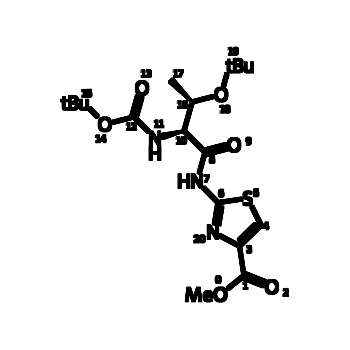 COC(=O)c1csc(NC(=O)[C@@H](NC(=O)OC(C)(C)C)[C@@H](C)OC(C)(C)C)n1